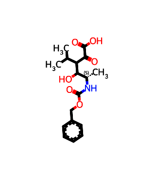 CC(C)C(C(=O)C(=O)O)C(O)[C@H](C)NC(=O)OCc1ccccc1